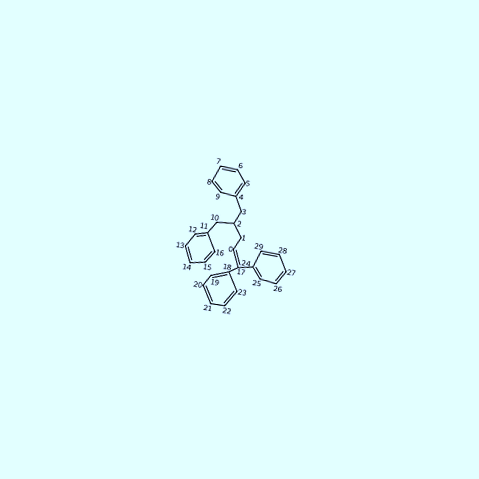 C(CC(Cc1ccccc1)Cc1ccccc1)=C(c1ccccc1)c1ccccc1